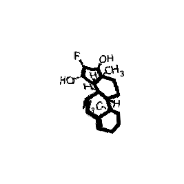 C[C@]12CC[C@H]3[C@@H](CCC4=CCCC[C@@]43C)[C@@H]1[C@H](O)[C@@H](F)[C@H]2O